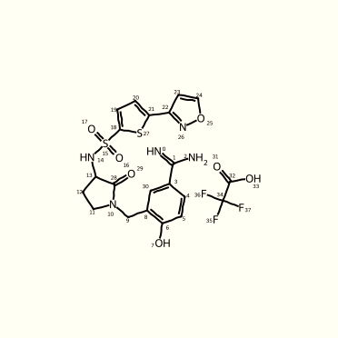 N=C(N)c1ccc(O)c(CN2CCC(NS(=O)(=O)c3ccc(-c4ccon4)s3)C2=O)c1.O=C(O)C(F)(F)F